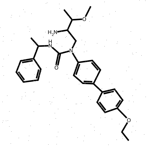 CCOc1ccc(-c2ccc(N(CC(N)C(C)OC)C(=O)NC(C)c3ccccc3)cc2)cc1